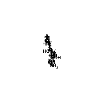 CC1O[C@H]2[C@@H](O)[C@H](n3cnc4c(N)ncnc43)O[C@@H]2CN1[C@@H]1C[C@H](CCc2nc3cc(C(C)(C)C)ccc3[nH]2)C1O